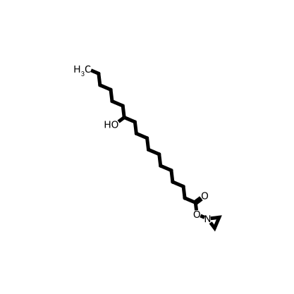 CCCCCCC(O)CCCCCCCCCCC(=O)ON1CC1